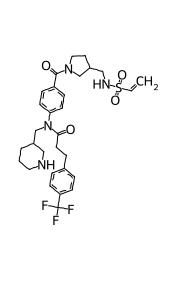 C=CS(=O)(=O)NCC1CCN(C(=O)c2ccc(N(CC3CCCNC3)C(=O)CCc3ccc(C(F)(F)F)cc3)cc2)C1